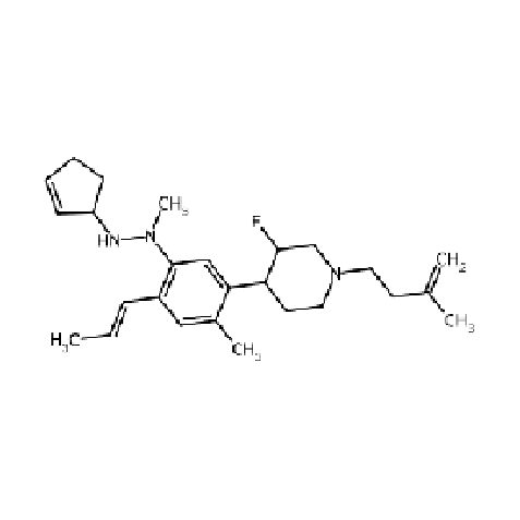 C=C(C)CCN1CCC(c2cc(N(C)NC3C=CCC3)c(C=CC)cc2C)C(F)C1